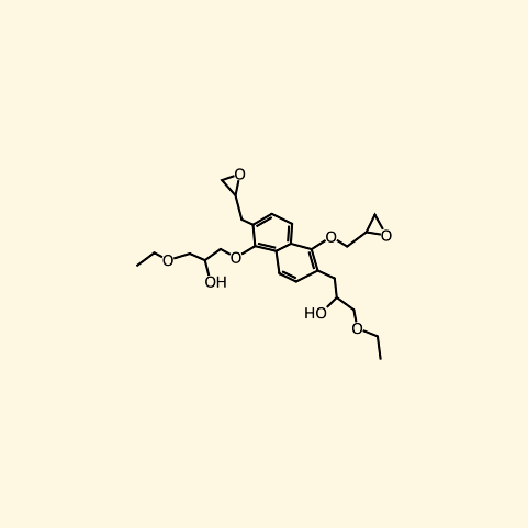 CCOCC(O)COc1c(CC2CO2)ccc2c(OCC3CO3)c(CC(O)COCC)ccc12